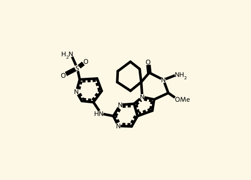 COC1c2cc3cnc(Nc4ccc(S(N)(=O)=O)nc4)nc3n2C2(CCCCC2)C(=O)N1N